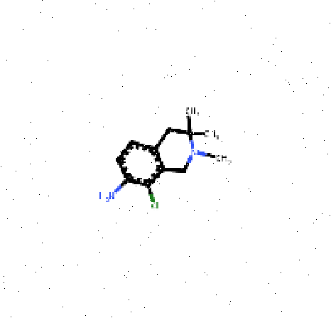 CN1Cc2c(ccc(N)c2Cl)CC1(C)C